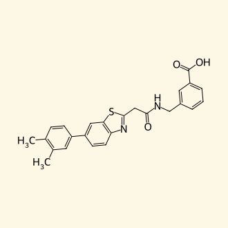 Cc1ccc(-c2ccc3nc(CC(=O)NCc4cccc(C(=O)O)c4)sc3c2)cc1C